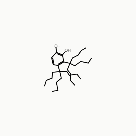 CCCCC(CCCC)(CCCC)c1ccc(O)c(O)c1C(CCCC)(CCCC)CCCC